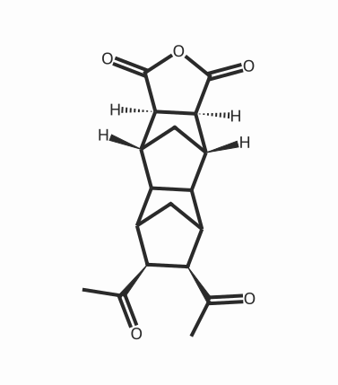 CC(=O)[C@@H]1C2CC(C3C2[C@@H]2C[C@H]3[C@H]3C(=O)OC(=O)[C@H]32)[C@@H]1C(C)=O